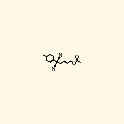 CC(=O)OC/C=C/CC(C#N)(C#N)C1=CCC(C)CC1